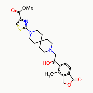 COC(=O)c1csc(N2CCC3(CCN(C[C@H](O)c4ccc5c(c4C)COC5=O)CC3)CC2)n1